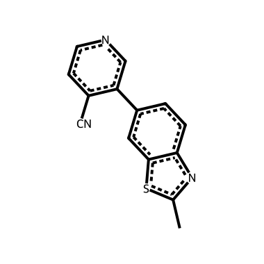 Cc1nc2ccc(-c3cnccc3C#N)cc2s1